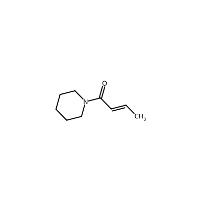 C/C=C/C(=O)N1CCCCC1